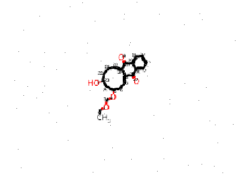 CCOCO[C@@H]1C/C=C2/C(=O)c3ccccc3C(=O)/C2=C/CC[C@H](O)C1